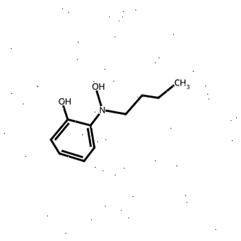 CCCCN(O)c1ccccc1O